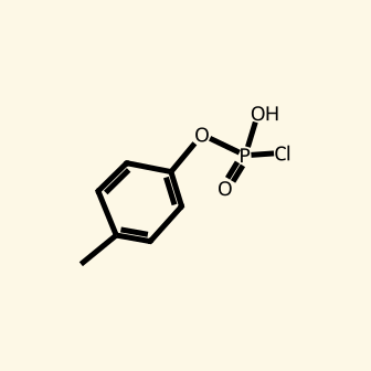 Cc1ccc(OP(=O)(O)Cl)cc1